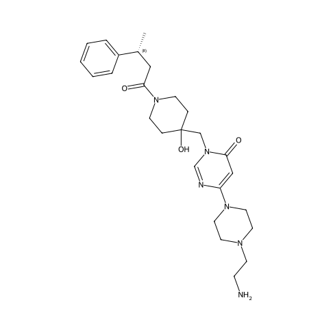 C[C@H](CC(=O)N1CCC(O)(Cn2cnc(N3CCN(CCN)CC3)cc2=O)CC1)c1ccccc1